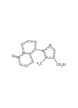 CCOC(=O)c1cnn(-c2cccn3c(=O)cccc23)c1C(F)(F)F